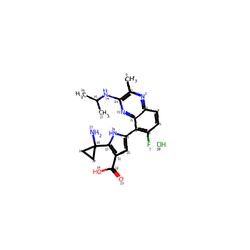 Cc1nc2ccc(F)c(-c3cc(C(=O)O)c(C4(N)CC4)[nH]3)c2nc1NC(C)C.Cl